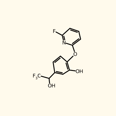 Oc1cc(C(O)C(F)(F)F)ccc1Oc1cccc(F)n1